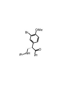 COc1ccc([C@@H](CNC(C)C)C(=O)C(C)C)cc1Br